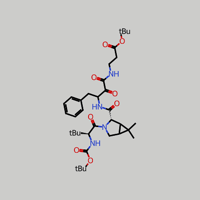 CC(C)(C)OC(=O)CCNC(=O)C(=O)C(Cc1ccccc1)NC(=O)[C@@H]1C2C(CN1C(=O)[C@@H](NC(=O)OC(C)(C)C)C(C)(C)C)C2(C)C